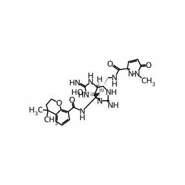 Cn1nc(C(=O)NC[C@@H]2NC(=N)N3CC(NC(=O)c4cccc5c4OCCC5(C)C)[C@@H](O)[C@@]34NC(=N)N[C@@H]24)ccc1=O